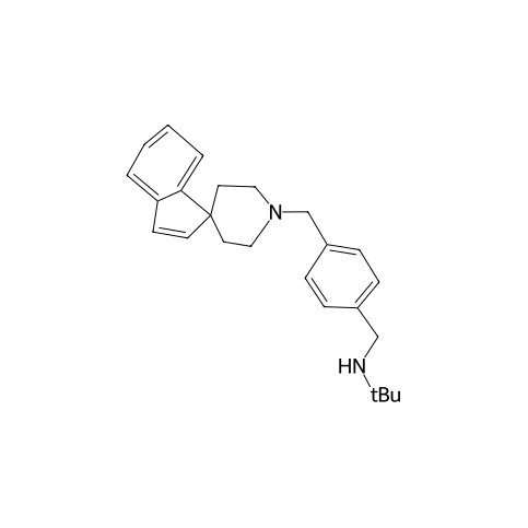 CC(C)(C)NCc1ccc(CN2CCC3(C=Cc4ccccc43)CC2)cc1